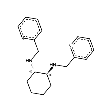 c1ccc(CN[C@H]2CCCC[C@@H]2NCc2ccccn2)nc1